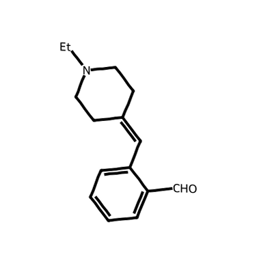 CCN1CCC(=Cc2ccccc2C=O)CC1